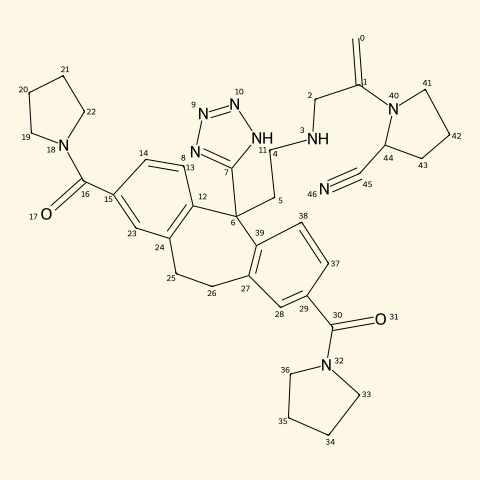 C=C(CNCCC1(c2nnn[nH]2)c2ccc(C(=O)N3CCCC3)cc2CCc2cc(C(=O)N3CCCC3)ccc21)N1CCCC1C#N